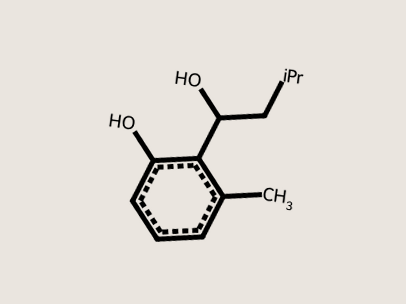 Cc1cccc(O)c1C(O)CC(C)C